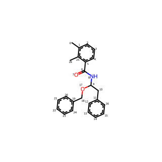 Cc1cccc(C(=O)NC(Cc2ccccc2)OCc2ccccc2)c1C